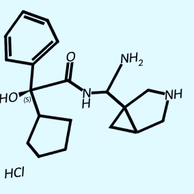 Cl.NC(NC(=O)[C@@](O)(c1ccccc1)C1CCCC1)C12CNCC1C2